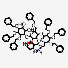 [3H]/B=S(\I)OCC1OC(OC2C(COCc3ccccc3)OC(OC3C(O)C(O)C(OCc4ccccc4)C(OCc4ccccc4)C3OCc3ccccc3)C(N=[N+]=[N-])C2OCc2ccccc2)C(OCc2ccccc2)C(OCc2ccccc2)C1OCc1ccccc1